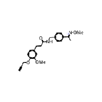 C#CCOc1ccc(CCC(=O)NCc2ccc(/C(C)=N/OC)cc2)cc1OC